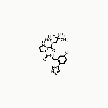 CC(C)(C)C[C@@H](O)C(=O)N1NCC[C@H]1C(=O)NCc1cc(Cl)ccc1-n1cnnn1